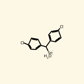 Clc1ccc([CH]([Sn])c2ccc(Cl)cc2)cc1.O